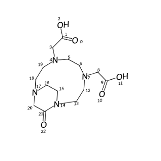 O=C(O)CN1CCN(CC(=O)O)CCN2CCN(CC1)CC2=O